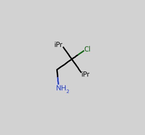 CC(C)C(Cl)(CN)C(C)C